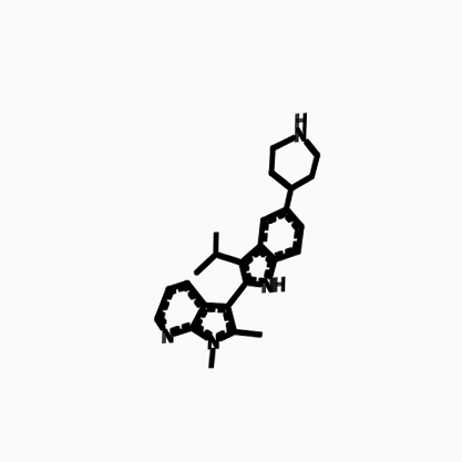 Cc1c(-c2[nH]c3ccc(C4CCNCC4)cc3c2C(C)C)c2cccnc2n1C